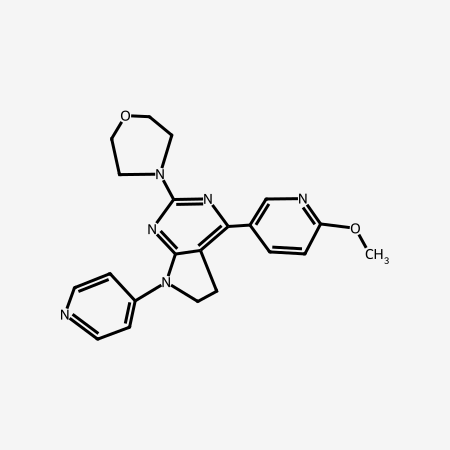 COc1ccc(-c2nc(N3CCOCC3)nc3c2CCN3c2ccncc2)cn1